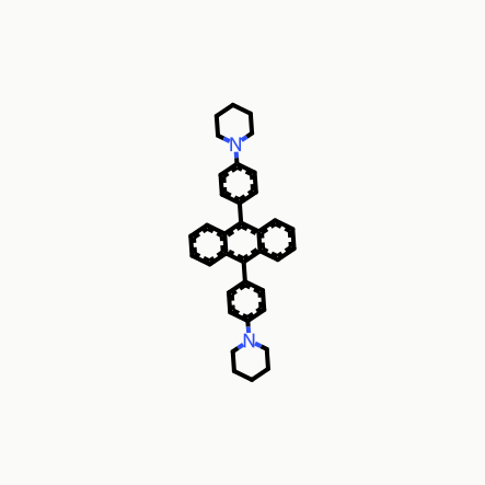 c1ccc2c(-c3ccc(N4CCCCC4)cc3)c3ccccc3c(-c3ccc(N4CCCCC4)cc3)c2c1